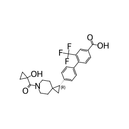 O=C(O)c1ccc(-c2ccc([C@@H]3CC34CCN(C(=O)C3(O)CC3)CC4)cc2)c(C(F)(F)F)c1